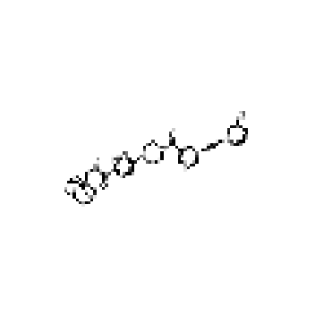 CN(CC12CC3CC(CC(C3)C1)C2)C(=O)c1ccc(N2CCN(C(=O)c3cncc(C#Cc4cccc(O)c4)c3)CC2)nn1